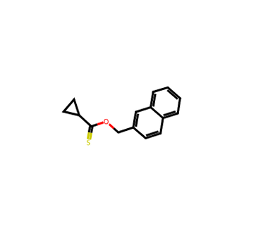 S=C(OCc1ccc2ccccc2c1)C1CC1